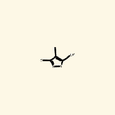 Cc1c(Cl)nsc1O